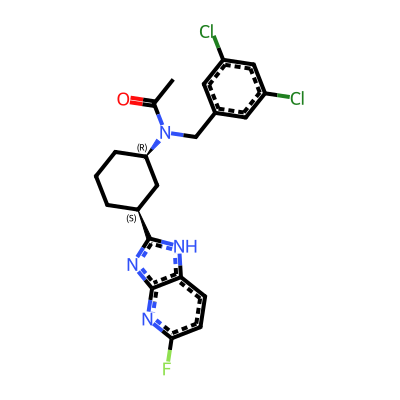 CC(=O)N(Cc1cc(Cl)cc(Cl)c1)[C@@H]1CCC[C@H](c2nc3nc(F)ccc3[nH]2)C1